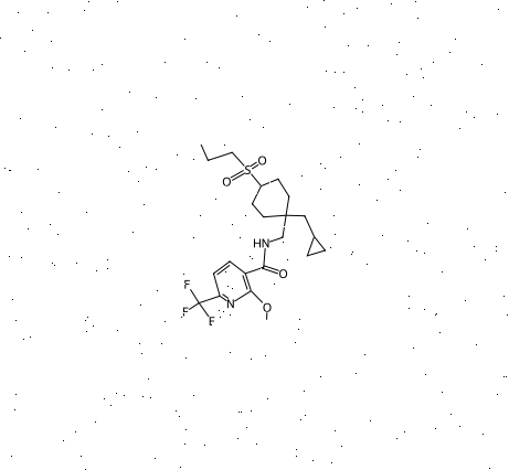 CCCS(=O)(=O)C1CCC(CNC(=O)c2ccc(C(F)(F)F)nc2OC)(CC2CC2)CC1